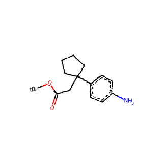 CC(C)(C)OC(=O)CC1(c2ccc(N)cc2)CCCC1